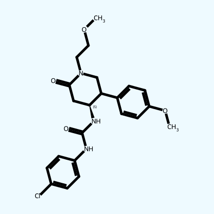 COCCN1CC(c2ccc(OC)cc2)[C@@H](NC(=O)Nc2ccc(Cl)cc2)CC1=O